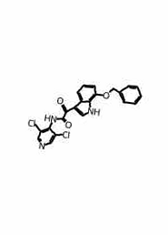 O=C(Nc1c(Cl)cncc1Cl)C(=O)c1c[nH]c2c(OCc3ccccc3)cccc12